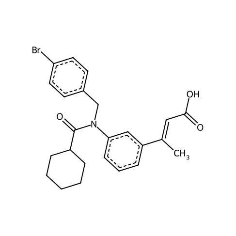 CC(=CC(=O)O)c1cccc(N(Cc2ccc(Br)cc2)C(=O)C2CCCCC2)c1